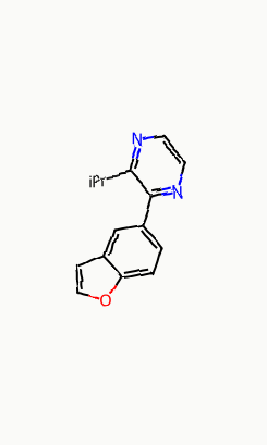 CC(C)c1nccnc1-c1ccc2occc2c1